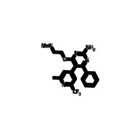 CNCCOc1nc(N)nc(-c2ccccc2)c1-c1cc(C)nc(C(F)(F)F)c1